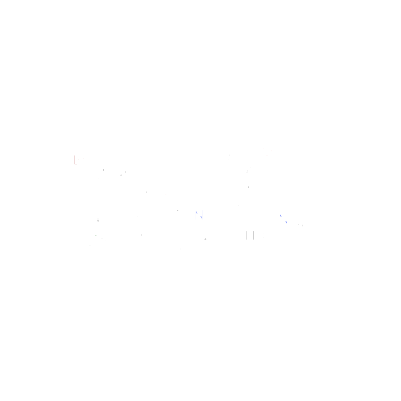 CN(C)C=C1CC(N2CCC(Cc3ccc(Br)cc3Cl)C2=O)CCC1=O